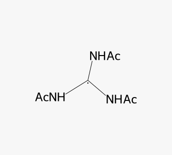 CC(=O)N[C](NC(C)=O)NC(C)=O